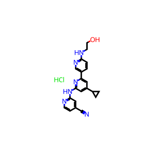 Cl.N#Cc1ccnc(Nc2cc(C3CC3)cc(-c3ccc(NCCO)nc3)n2)c1